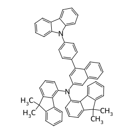 CC1(C)c2ccccc2-c2c(N(c3cc(-c4ccc(-n5c6ccccc6c6ccccc65)cc4)c4ccccc4c3)c3cccc4c3-c3ccccc3C4(C)C)cccc21